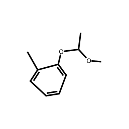 COC(C)Oc1ccccc1C